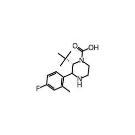 Cc1cc(F)ccc1C1NCCN(C(=O)O)[C@H]1C(C)(C)C